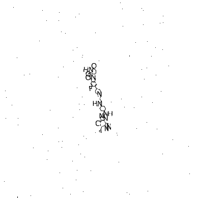 Cn1ncc(-c2nc(N[C@H]3CC[C@H](NCCCN4CCC(c5cc6c(cc5F)C(=O)N(C5CCC(=O)NC5=O)C6)CC4)CC3)ncc2Cl)c1CC1CC1